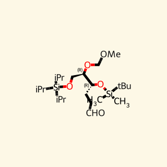 COCO[C@H](CO[Si](C(C)C)(C(C)C)C(C)C)[C@@H](CCC=O)O[Si](C)(C)C(C)(C)C